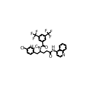 CN(C(=O)c1cc(C(F)(F)F)cc(C(F)(F)F)c1)C(CCC(=O)Nc1ccnc2ccccc12)Cc1ccc(Cl)cc1